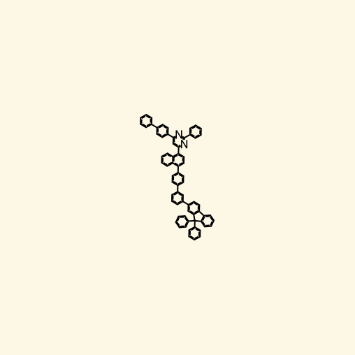 c1ccc(-c2ccc(-c3cc(-c4ccc(-c5ccc(-c6cccc(-c7ccc8c(c7)C(c7ccccc7)(c7ccccc7)c7ccccc7-8)c6)cc5)c5ccccc45)nc(-c4ccccc4)n3)cc2)cc1